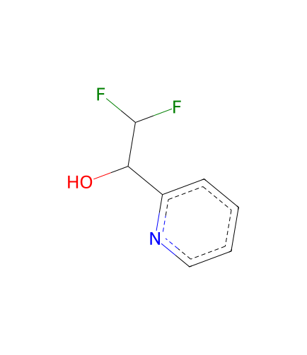 OC(c1ccccn1)C(F)F